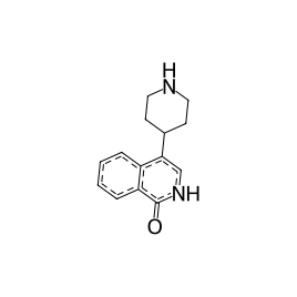 O=c1[nH]cc(C2CCNCC2)c2ccccc12